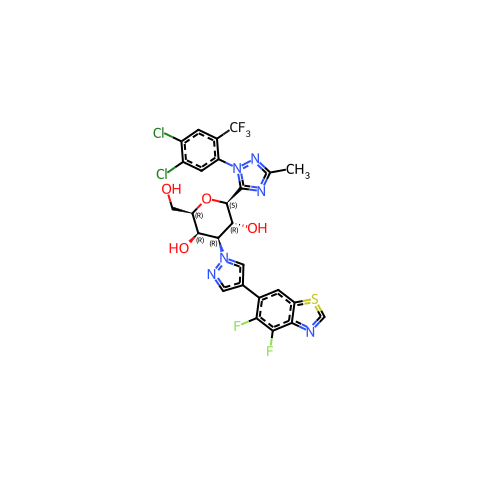 Cc1nc([C@@H]2O[C@H](CO)[C@H](O)[C@H](n3cc(-c4cc5scnc5c(F)c4F)cn3)[C@H]2O)n(-c2cc(Cl)c(Cl)cc2C(F)(F)F)n1